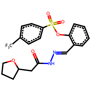 O=C(CC1CCCO1)NN=Cc1ccccc1OS(=O)(=O)c1ccc(C(F)(F)F)cc1